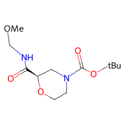 COCNC(=O)[C@H]1CN(C(=O)OC(C)(C)C)CCO1